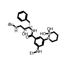 CCNc1cc(C(=O)N[C@@H](Cc2ccccc2)[C@H](O)CNC(C)CC)cc(N2CCCCS2(O)O)c1